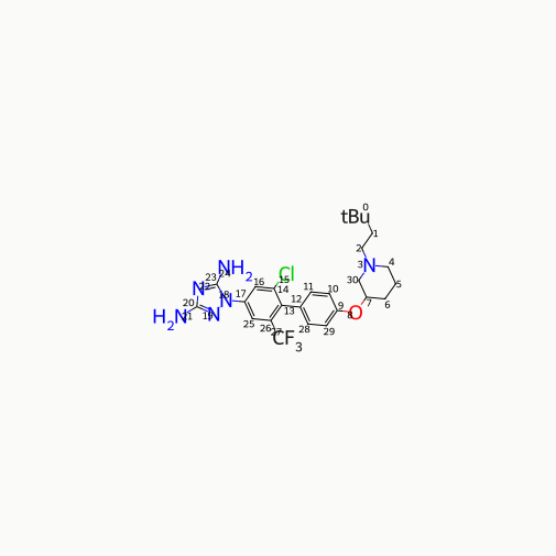 CC(C)(C)CCN1CCCC(Oc2ccc(-c3c(Cl)cc(-n4nc(N)nc4N)cc3C(F)(F)F)cc2)C1